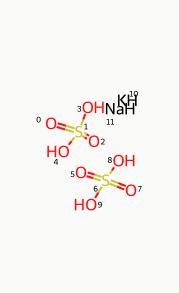 O=S(=O)(O)O.O=S(=O)(O)O.[KH].[NaH]